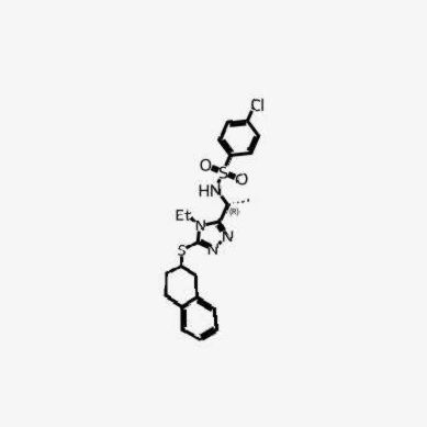 CCn1c(SC2CCc3ccccc3C2)nnc1[C@@H](C)NS(=O)(=O)c1ccc(Cl)cc1